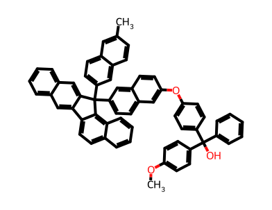 COc1ccc(C(O)(c2ccccc2)c2ccc(Oc3ccc4cc(C5(c6ccc7cc(C)ccc7c6)c6cc7ccccc7cc6-c6ccc7ccccc7c65)ccc4c3)cc2)cc1